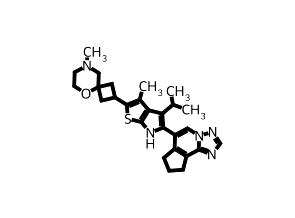 Cc1c(C2CC3(C2)CN(C)CCO3)sc2[nH]c(-c3cn4ncnc4c4c3CCC4)c(C(C)C)c12